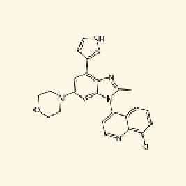 Cc1nc2c(-c3cc[nH]c3)cc(N3CCOCC3)cc2n1-c1ccnc2c(Cl)cccc12